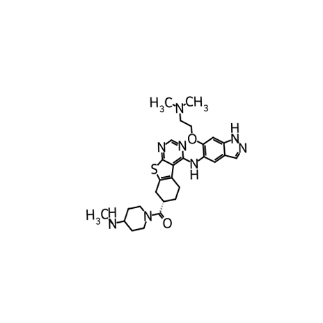 CNC1CCN(C(=O)[C@H]2CCc3c(sc4ncnc(Nc5cc6cn[nH]c6cc5OCCN(C)C)c34)C2)CC1